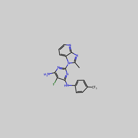 Cc1nc2ncccc2n1-c1nc(N)c(F)c(Nc2ccc(C(F)(F)F)cc2)n1